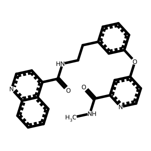 CNC(=O)c1cc(Oc2cccc(CCNC(=O)c3ccnc4ccccc34)c2)ccn1